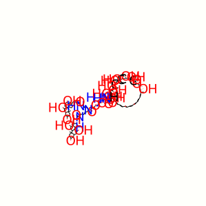 CC1CC(N)(O)C(O)C(O[C@H]2/C=C/C=C/C=C/C=C/C=C/C=C/C=C/[C@H](C)[C@@H](O)[C@@H](C)[C@H](C)OC(=O)C[C@H](O)C[C@H](O)CC[C@@H](O)[C@H](O)C[C@H](O)C[C@]3(O)C[C@H](O)[C@@H](C(=O)NCCOCCOCCC(=O)N(CCCCNC(=O)CC[C@@H](C)C4CCC5C6C(O)CC7CC(O)CCC7(C)C6CC(O)C54C)CCCNC(=O)CC[C@@H](C)C4CCC5C6(CCC(O)C45C)CC4(C)CCC(O)CC4CC6O)[C@H](C2)O3)O1